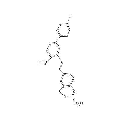 O=C(O)c1ccc2cc(/C=C/c3cc(-c4ccc(F)cc4)ccc3C(=O)O)ccc2c1